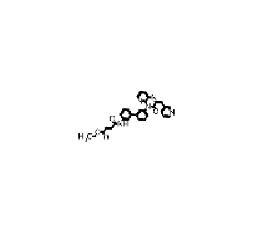 CCOC(=O)C=CC(=O)Nc1cccc(-c2cccc(-n3c(=O)c(Cc4cccnc4)nc4cccnc43)c2)c1